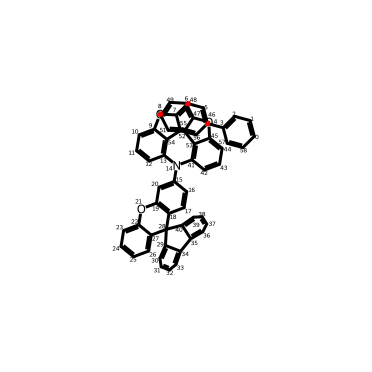 c1ccc(-c2ccc3oc4cccc(N(c5ccc6c(c5)Oc5ccccc5C65c6ccccc6-c6ccccc65)c5cccc6oc7ccccc7c56)c4c3c2)cc1